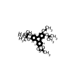 CCOc1cc2c(cc1OC(C)C)c1cc3c(cc1c1cc4c(cc21)OC(C)(C)C(C)(C)O4)OSC(C)O3